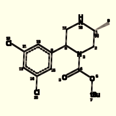 C[C@@H]1CN(C(=O)OC(C)(C)C)C(c2cc(Cl)cc(Cl)c2)CN1